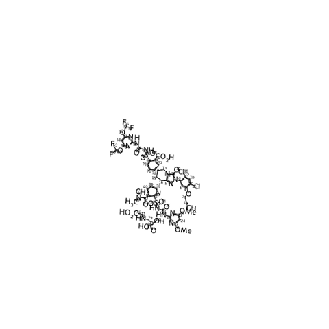 C#CCOc1cc(-n2nc3n(c2=O)CCCC3)c(Cl)cc1Cl.COc1cc(OC)nc(NC(=O)NS(=O)(=O)c2ncccc2C(=O)N(C)C)n1.O=C(Nc1nc(OC(F)F)cc(OC(F)F)n1)NS(=O)(=O)c1ccccc1C(=O)O.O=C(O)CNCP(=O)(O)O